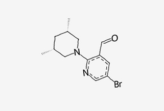 C[C@@H]1C[C@H](C)CN(c2ncc(Br)cc2C=O)C1